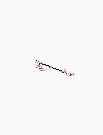 CCCCCCCCOC(=O)CCCCCCCCCCCCCCC(C(=O)OCCCCCCCC)C(C)C